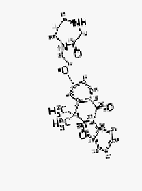 CC1(C)c2cc(OCCN3CCCNCC3=O)ccc2C(=O)c2c1oc1ccccc21